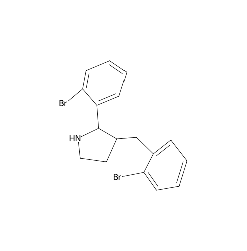 Brc1ccccc1CC1CCNC1c1ccccc1Br